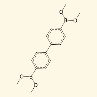 COB(OC)c1ccc(-c2ccc(B(OC)OC)cc2)cc1